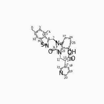 Cc1cc(C)c2c(Cn3c(=O)n(CC(C(=O)O)c4cccnc4)c4ccccc43)nsc2c1